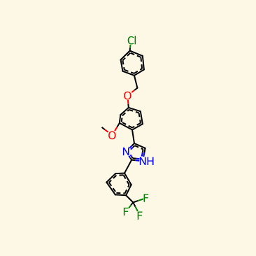 COc1cc(OCc2ccc(Cl)cc2)ccc1-c1c[nH]c(-c2cccc(C(F)(F)F)c2)n1